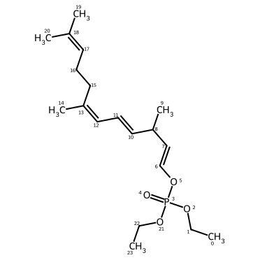 CCOP(=O)(OC=CC(C)C=CC=C(C)CCC=C(C)C)OCC